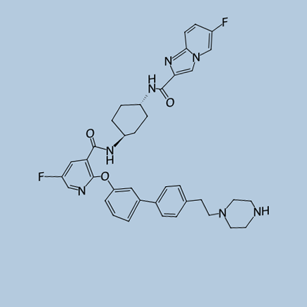 O=C(N[C@H]1CC[C@H](NC(=O)c2cc(F)cnc2Oc2cccc(-c3ccc(CCN4CCNCC4)cc3)c2)CC1)c1cn2cc(F)ccc2n1